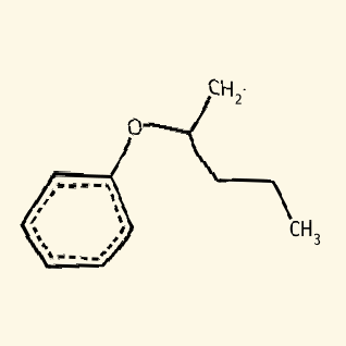 [CH2]C(CCC)Oc1ccccc1